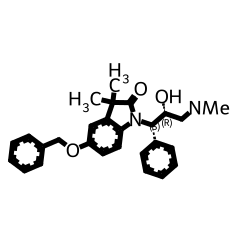 CNC[C@@H](O)[C@H](c1ccccc1)N1C(=O)C(C)(C)c2cc(OCc3ccccc3)ccc21